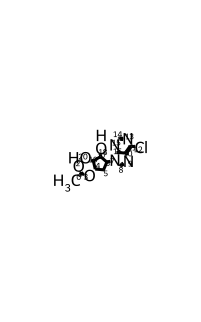 CC(=O)OC1CC(n2cnc3c(Cl)ncnc32)C(O)C1O